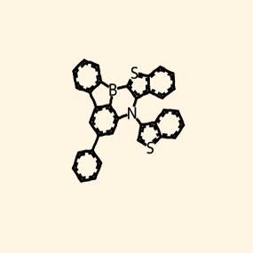 c1ccc(-c2cc3c4c(c2)N(c2csc5ccccc25)c2c(sc5ccccc25)B4c2ccccc2-3)cc1